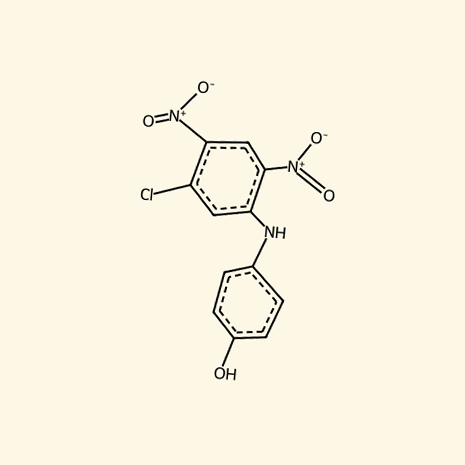 O=[N+]([O-])c1cc([N+](=O)[O-])c(Nc2ccc(O)cc2)cc1Cl